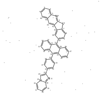 c1ccc2nc3sc4ccc(-c5c6ccccc6c(-c6ccc(-c7cn8ccccc8n7)cc6)c6ccccc56)cc4c3cc2c1